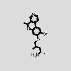 CC(COc1cc2c(cc1Br)-c1ccncc1C(C)O2)C[C@H](C)N